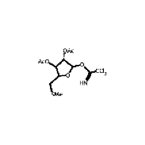 CSCC1OC(OC(=N)C(Cl)(Cl)Cl)[C@@H](OC(C)=O)C1OC(C)=O